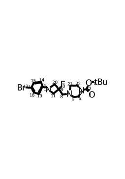 CC(C)(C)OC(=O)N1CCN(CC2(F)CN(c3ccc(Br)cc3)C2)CC1